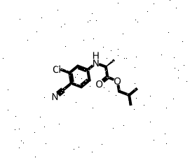 CC(C)COC(=O)[C@H](C)Nc1ccc(C#N)c(Cl)c1